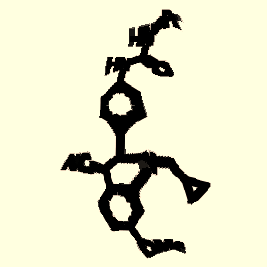 COc1ccc2c(c1)N(CC1CC1)C(c1ccc(NC(=O)NC(C)C)cc1)C2C#N